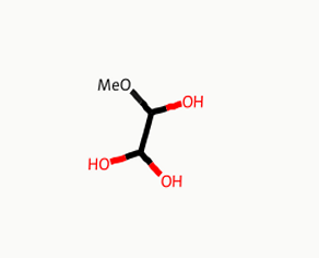 COC(O)C(O)O